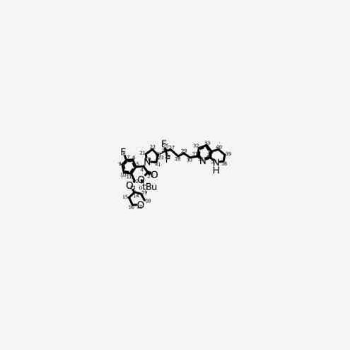 CC(C)(C)OC(=O)C(c1cc(F)ccc1COC1CCOCC1)N1CC[C@@H](C(F)(F)CCCCc2ccc3c(n2)NCCC3)C1